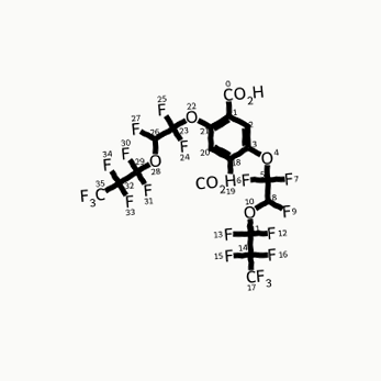 O=C(O)c1cc(OC(F)(F)C(F)OC(F)(F)C(F)(F)C(F)(F)F)c(C(=O)O)cc1OC(F)(F)C(F)OC(F)(F)C(F)(F)C(F)(F)F